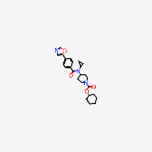 O=C(OC1CCCCC1)N1CCC(N(C(=O)c2ccc(-c3cnco3)cc2)C2CC2)CC1